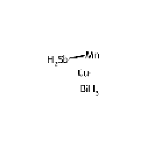 [BiH3].[Cu].[Mn][SbH2]